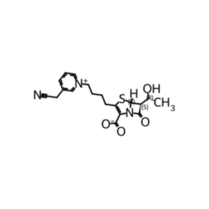 C[C@@H](O)[C@H]1C(=O)N2C(C(=O)[O-])=C(CCCC[n+]3cccc(CC#N)c3)S[C@H]12